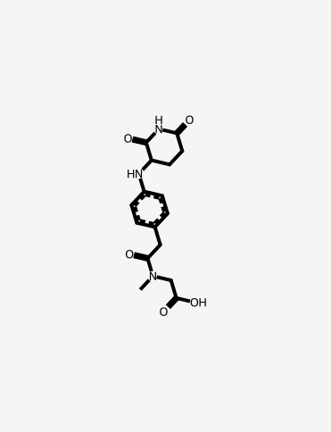 CN(CC(=O)O)C(=O)Cc1ccc(NC2CCC(=O)NC2=O)cc1